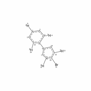 [2H]c1cc([2H])c(-c2cc([2H])c(Br)c([2H])c2)c([2H])c1